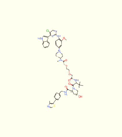 COc1cc(N2CCC(N(C)C(=O)COCCOCC(=O)NC(C(=O)N3C[C@H](O)C[C@H]3C(=O)NCc3ccc(-c4scnc4C)cc3)C(C)(C)C)CC2)ccc1Nc1ncc(Cl)c(-c2c[nH]c3ccccc23)n1